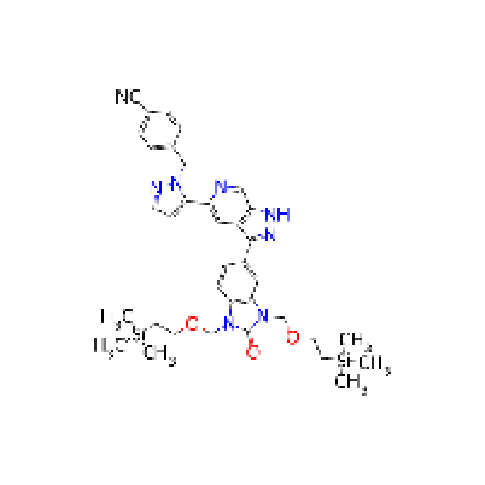 C[Si](C)(C)CCOCn1c(=O)n(COCC[Si](C)(C)C)c2cc(-c3n[nH]c4cnc(-c5ccnn5Cc5ccc(C#N)cc5)cc34)ccc21